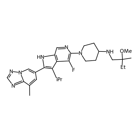 CCC(C)(CNC1CCN(c2ncc3[nH]c(-c4cc(C)c5ncnn5c4)c(C(C)C)c3c2F)CC1)OC